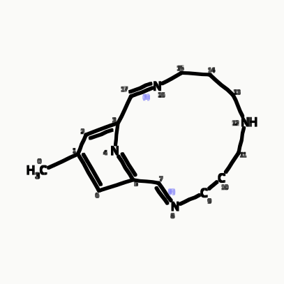 Cc1cc2nc(c1)/C=N/CCCNCCC/N=C/2